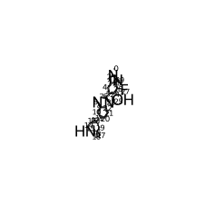 Cn1cc2cc(-c3cnc4cc([C@H]5CCNC6(CC6)C5)ccc4n3)c(O)c(F)c2n1